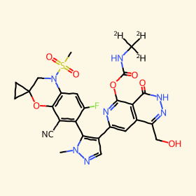 [2H]C([2H])([2H])NC(=O)Oc1nc(-c2cnn(C)c2-c2c(F)cc3c(c2C#N)OC2(CC2)CN3S(C)(=O)=O)cc2c(CO)n[nH]c(=O)c12